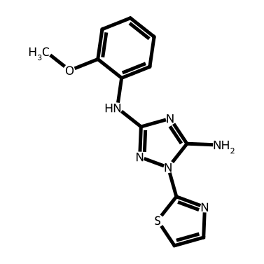 COc1ccccc1Nc1nc(N)n(-c2nccs2)n1